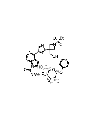 CCS(=O)(=O)N1CC(CC#N)(n2cc(-c3ncnc4c3ccn4C(=O)NC)cn2)C1.O=C(O)[C@H]1O[C@@H](Oc2ccccc2)[C@H](O)[C@@H](O)[C@@H]1O